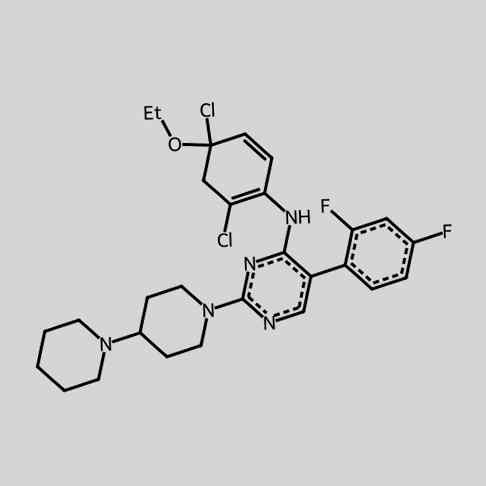 CCOC1(Cl)C=CC(Nc2nc(N3CCC(N4CCCCC4)CC3)ncc2-c2ccc(F)cc2F)=C(Cl)C1